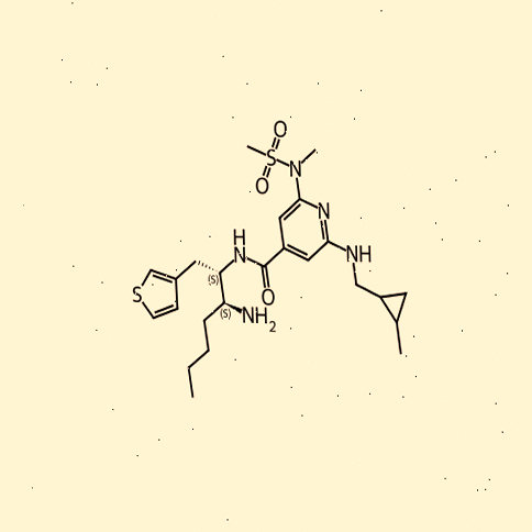 CCCC[C@H](N)[C@H](Cc1ccsc1)NC(=O)c1cc(NCC2CC2C)nc(N(C)S(C)(=O)=O)c1